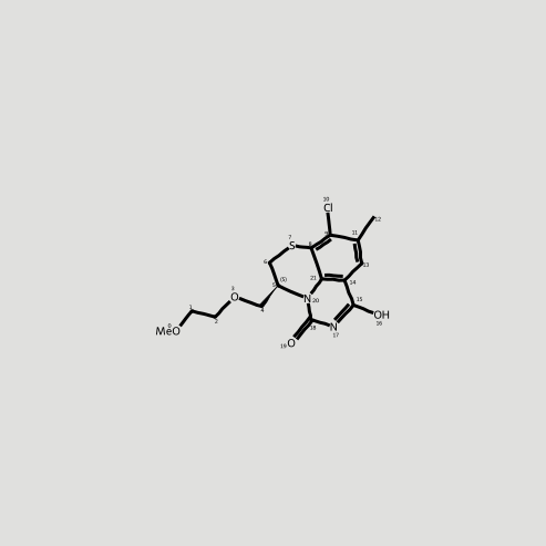 COCCOC[C@H]1CSc2c(Cl)c(C)cc3c(O)nc(=O)n1c23